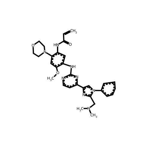 C=CC(=O)Nc1cc(Nc2nccc(-c3cn(-c4ccccc4)c(CN(C)C)n3)n2)c(OC)cc1N1CCOCC1